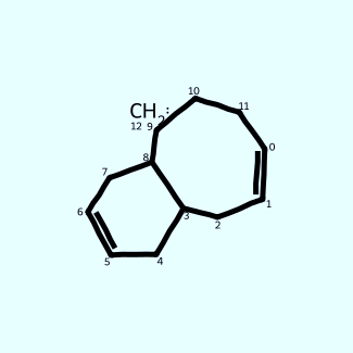 C1=CCC2CC=CCC2CCC1.[CH2]